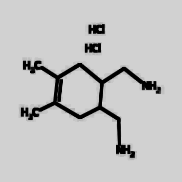 CC1=C(C)CC(CN)C(CN)C1.Cl.Cl